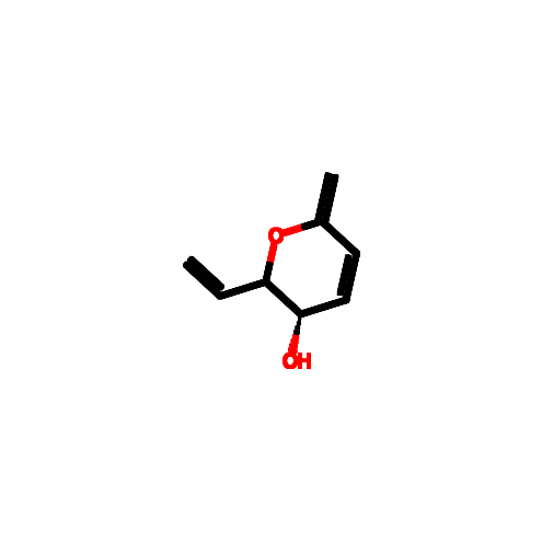 C=CC1OC(=C)C=C[C@@H]1O